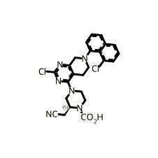 N#CC[C@H]1CN(c2nc(Cl)nc3c2CCN(c2cccc4cccc(Cl)c24)C3)CCN1C(=O)O